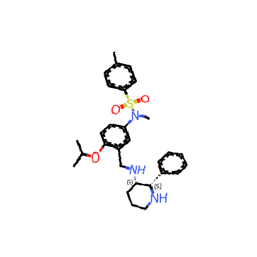 Cc1ccc(S(=O)(=O)N(C)c2ccc(OC(C)C)c(CN[C@H]3CCCN[C@H]3c3ccccc3)c2)cc1